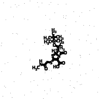 CNC(=O)CSC1=C(C(=O)O)N2C(=O)[C@@H]([C@H](C)O[Si](C)(C)C(C)(C)C)[C@H]2S1